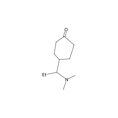 CCC(C1CCC(=O)CC1)N(C)C